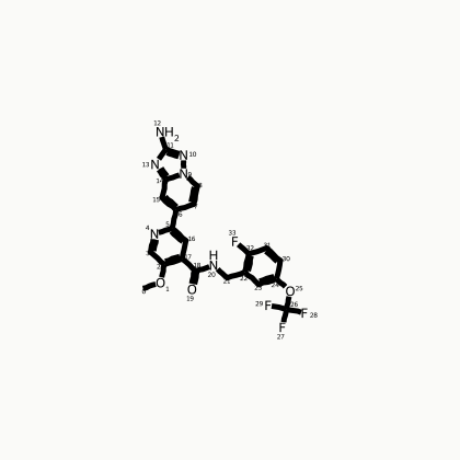 COc1cnc(-c2ccn3nc(N)nc3c2)cc1C(=O)NCc1cc(OC(F)(F)F)ccc1F